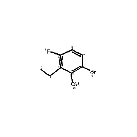 CCc1c(F)ccc(Br)c1O